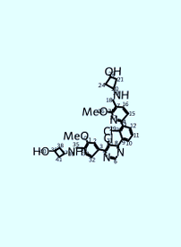 COc1cc(-c2ncnc(-c3cccc(-c4ccc(CN[C@H]5C[C@H](O)C5)c(OC)n4)c3Cl)c2Cl)ccc1CN[C@H]1C[C@H](O)C1